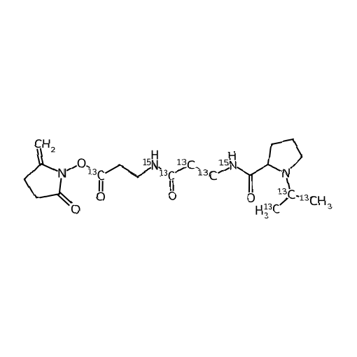 C=C1CCC(=O)N1O[13C](=O)CC[15NH][13C](=O)[13CH2][13CH2][15NH]C(=O)C1CCCN1[13CH]([13CH3])[13CH3]